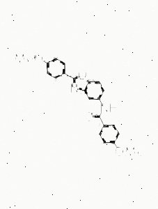 COc1ccc(C(=O)Nc2ccc3oc(-c4ccc(OC)cc4)nc3c2)cc1